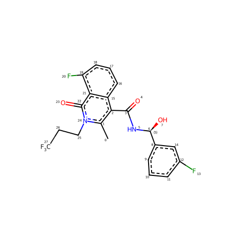 Cc1c(C(=O)N[C@@H](O)c2cccc(F)c2)c2cccc(F)c2c(=O)n1CCC(F)(F)F